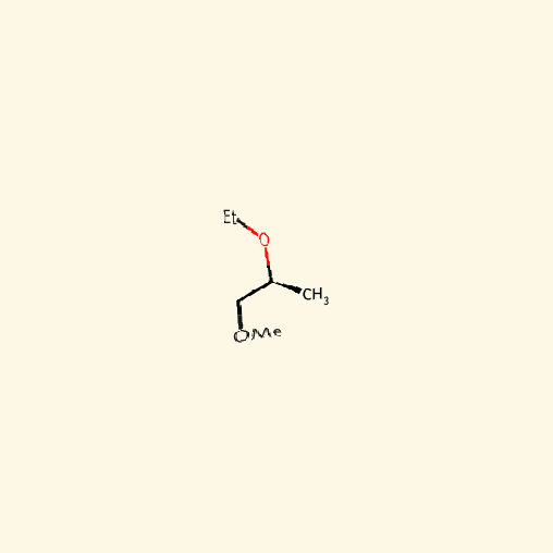 CCO[C@@H](C)COC